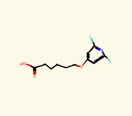 O=C(O)CCCCCOc1cc(F)nc(F)c1